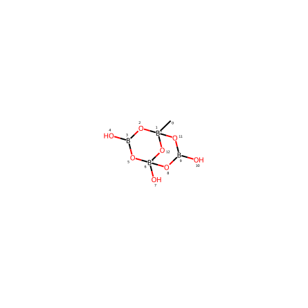 C[B-]12OB(O)O[B-](O)(OB(O)O1)O2